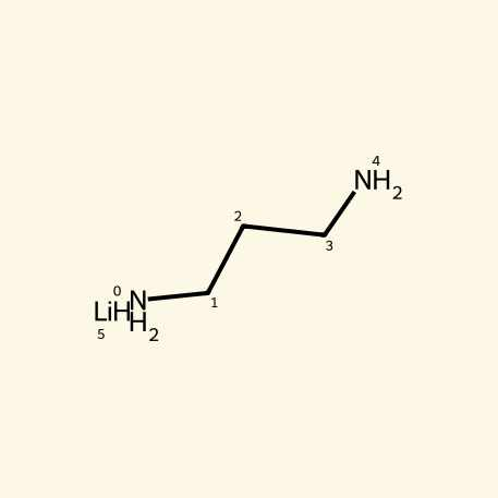 NCCCN.[LiH]